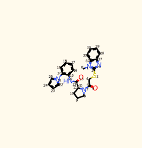 Cn1c(SCC(=O)N2CCC[C@H]2C(=O)Nc2ccccc2-n2cccc2)nc2ccccc21